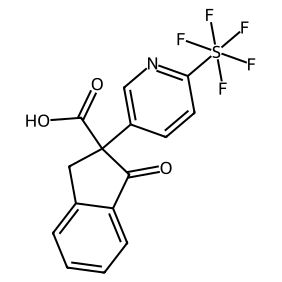 O=C(O)C1(c2ccc(S(F)(F)(F)(F)F)nc2)Cc2ccccc2C1=O